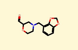 O=CC1CN(Cc2cccc3c2OCO3)CCO1